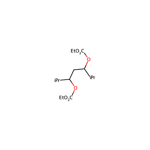 CCOC(=O)OC(CC(OC(=O)OCC)C(C)C)C(C)C